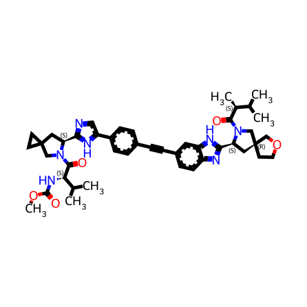 COC(=O)N[C@H](C(=O)N1CC2(CC2)C[C@H]1c1ncc(-c2ccc(C#Cc3ccc4nc([C@@H]5C[C@@]6(CCOC6)CN5C(=O)[C@@H](C)C(C)C)[nH]c4c3)cc2)[nH]1)C(C)C